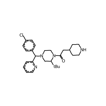 CC(C)(C)C1CN(C(c2ccc(Cl)cc2)c2ccccn2)CCN1C(=O)CC1CCNCC1